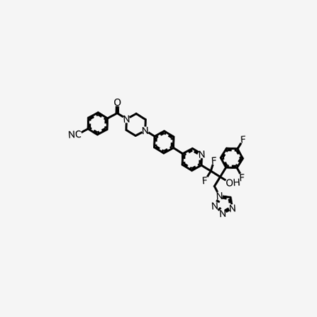 N#Cc1ccc(C(=O)N2CCN(c3ccc(-c4ccc(C(F)(F)C(O)(Cn5cnnn5)c5ccc(F)cc5F)nc4)cc3)CC2)cc1